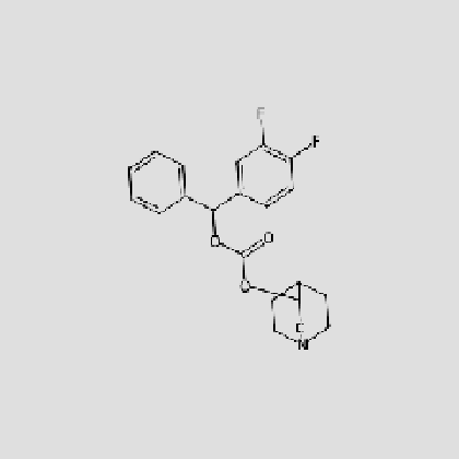 O=C(OC(c1ccccc1)c1ccc(F)c(F)c1)OC1CN2CCC1CC2